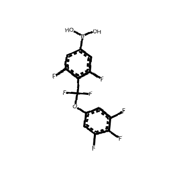 OB(O)c1cc(F)c(C(F)(F)Oc2cc(F)c(F)c(F)c2)c(F)c1